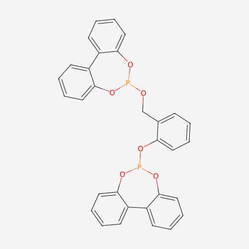 c1ccc(Op2oc3ccccc3c3ccccc3o2)c(COp2oc3ccccc3c3ccccc3o2)c1